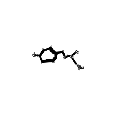 CC(C)(C)[S+]([O-])N[CH]c1ccc(Cl)cc1